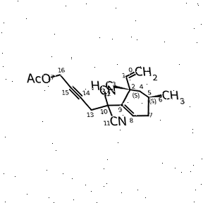 C=C[C@]1(C)C[C@@H](C)CC=C1C(C#N)(C#N)CC#CCOC(C)=O